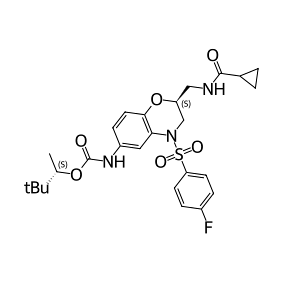 C[C@H](OC(=O)Nc1ccc2c(c1)N(S(=O)(=O)c1ccc(F)cc1)C[C@H](CNC(=O)C1CC1)O2)C(C)(C)C